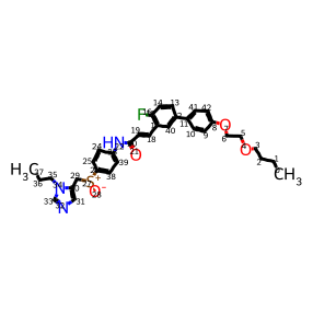 CCCCOCCOc1ccc(-c2ccc(F)c(/C=C/C(=O)Nc3ccc([S@@+]([O-])Cc4cncn4CCC)cc3)c2)cc1